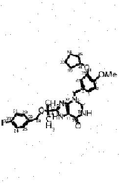 COc1ccc(CN2CNC(=O)c3[nH]c(C(C)(C)OCc4ccc(F)cc4)nc32)cc1OC1CCCC1